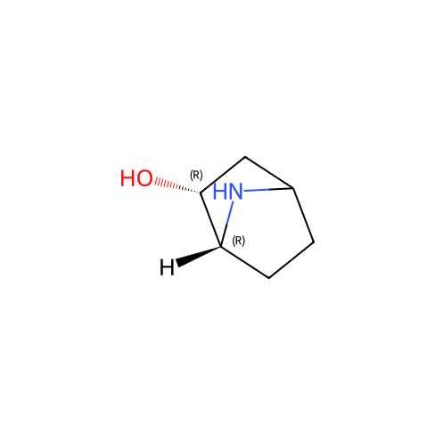 O[C@@H]1CC2CC[C@H]1N2